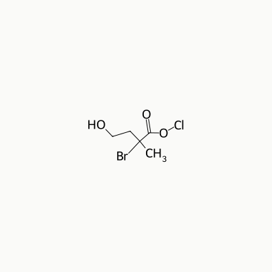 CC(Br)(CCO)C(=O)OCl